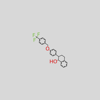 OC1c2ccccc2CCC1c1ccc(OCc2ccc(C(F)(F)F)cc2)cc1